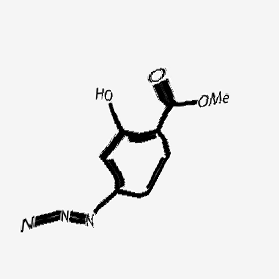 COC(=O)c1ccc(N=[N+]=[N-])cc1O